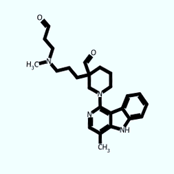 Cc1cnc(N2CCCC(C=O)(CCCN(C)CCC=O)C2)c2c1[nH]c1ccccc12